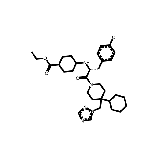 CCOC(=O)C1CCC(N[C@H](Cc2ccc(Cl)cc2)C(=O)N2CCC(Cn3cncn3)(C3CCCCC3)CC2)CC1